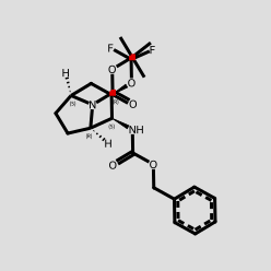 CC(C)(C)OC(=O)N1[C@H]2CC[C@@H]1[C@H](NC(=O)OCc1ccccc1)[C@H](OC(F)F)C2